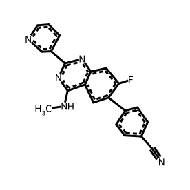 CNc1nc(-c2cccnc2)nc2cc(F)c(-c3ccc(C#N)cc3)cc12